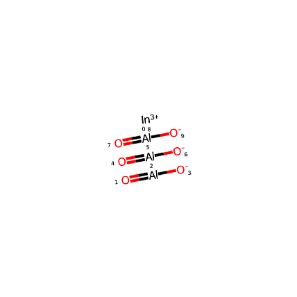 [In+3].[O]=[Al][O-].[O]=[Al][O-].[O]=[Al][O-]